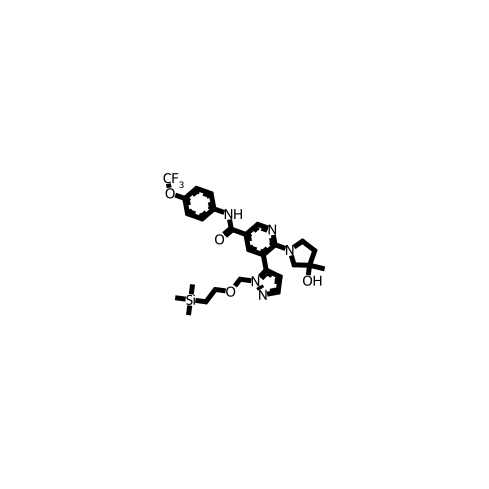 CC1(O)CCN(c2ncc(C(=O)Nc3ccc(OC(F)(F)F)cc3)cc2-c2ccnn2COCC[Si](C)(C)C)C1